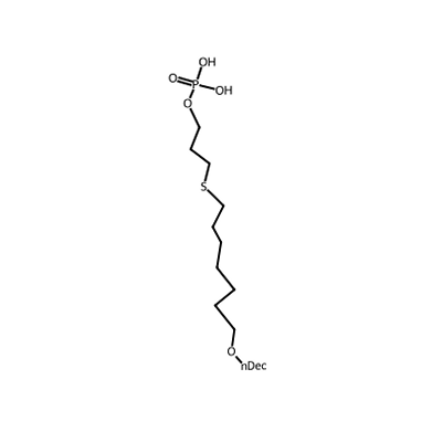 CCCCCCCCCCOCCCCCCCSCCCOP(=O)(O)O